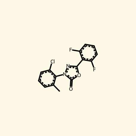 Cc1cccc(Cl)c1-n1nc(-c2c(F)cccc2F)oc1=O